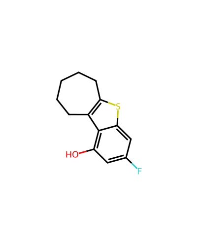 Oc1cc(F)cc2sc3c(c12)CCCCC3